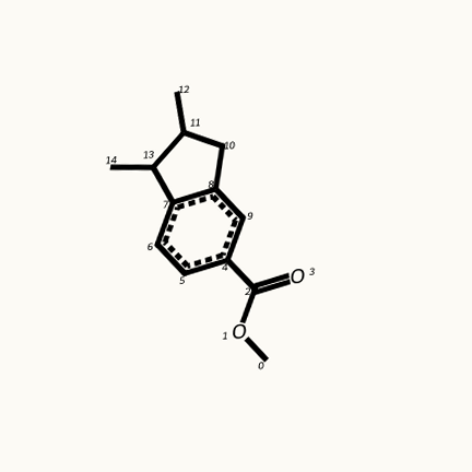 COC(=O)c1ccc2c(c1)CC(C)C2C